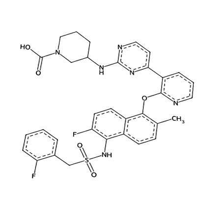 Cc1ccc2c(NS(=O)(=O)Cc3ccccc3F)c(F)ccc2c1Oc1ncccc1-c1ccnc(NC2CCCN(C(=O)O)C2)n1